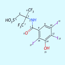 O=C(NC(CS(=O)(=O)O)(C(F)(F)F)C(F)(F)F)c1cc(I)c(I)c(O)c1I